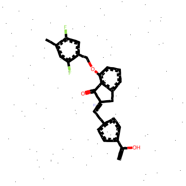 C=C(O)c1ccc(/C=C2\Cc3cccc(OCc4cc(F)c(C)cc4F)c3C2=O)cc1